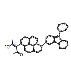 CO/C(C)=C(\C(C)=O)c1ccc2ccc3c(-c4ccc5c(c4)c4ccccc4n5-c4ccccc4)ccc4ccc1c2c43